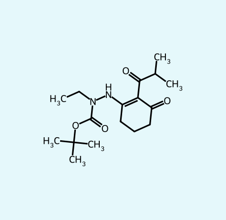 CCN(NC1=C(C(=O)C(C)C)C(=O)CCC1)C(=O)OC(C)(C)C